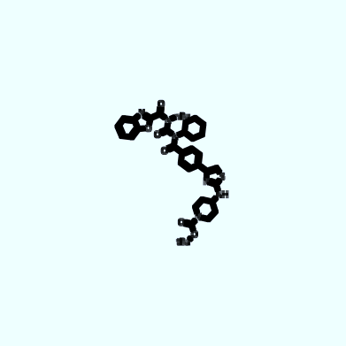 CCCCN(C(=O)c1nc2ccccc2o1)C(=O)N(C(=O)c1ccc(-c2csc(NC3CCN(C(=O)OC(C)(C)C)CC3)n2)cc1)C1CCCCC1